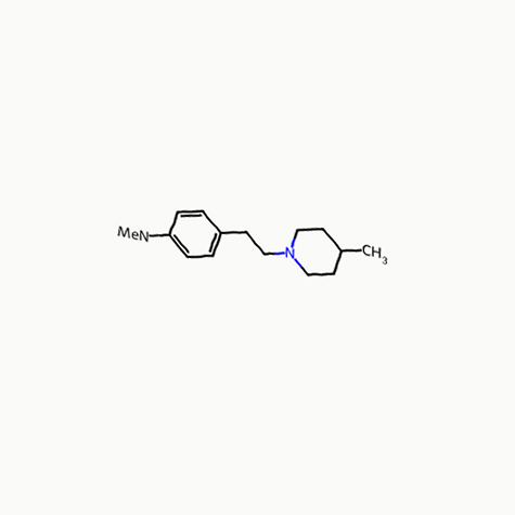 CNc1ccc(CCN2CCC(C)CC2)cc1